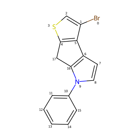 Brc1csc2c1-c1ccn(-c3ccccc3)c1C2